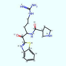 N=C(N)NCCCC(NC(=O)C1CCNC1)C(=O)c1nc2ccccc2s1